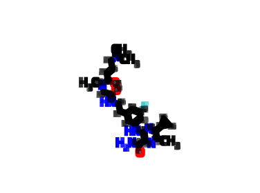 Cc1nc(C(N)=O)c(Nc2cc(F)cc(CCNC(=O)CN(C)C(=O)/C=C/CN(C)C)c2)nc1C1CC1